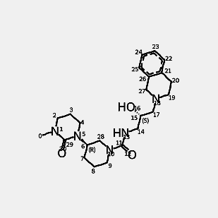 CN1CCCN([C@@H]2CCCN(C(=O)NC[C@H](O)CN3CCc4ccccc4C3)C2)C1=O